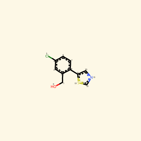 OCc1cc(Cl)ccc1-c1cncs1